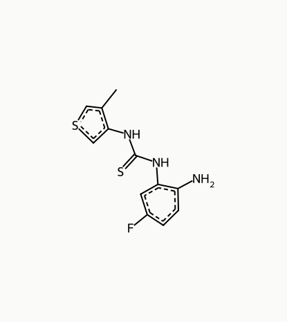 Cc1cscc1NC(=S)Nc1cc(F)ccc1N